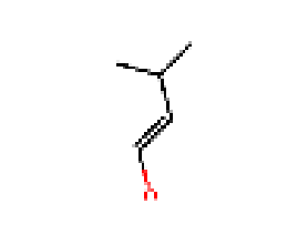 CC(C)C=C[O]